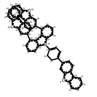 C1=C(c2ccc3c(c2)oc2ccccc23)CCC(n2c3cccc(-c4ccc5c(c4)oc4ccccc45)c3c3c(-c4ccc5c(c4)oc4ccccc45)cccc32)=C1